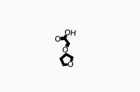 C1CCOC1.O=CC(=O)O